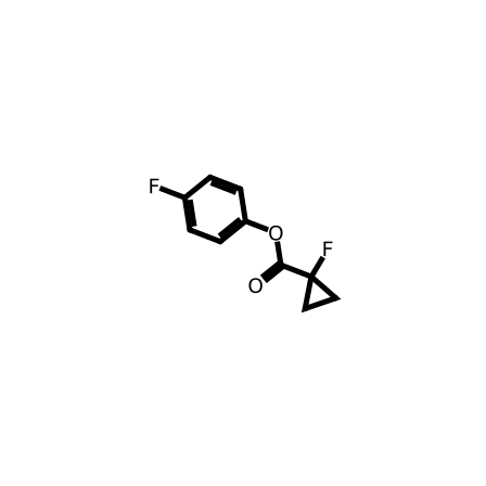 O=C(Oc1ccc(F)cc1)C1(F)CC1